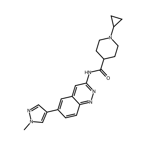 Cn1cc(-c2ccc3nnc(NC(=O)C4CCN(C5CC5)CC4)cc3c2)cn1